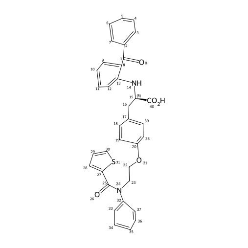 O=C(c1ccccc1)c1ccccc1N[C@H](Cc1ccc(OCCN(C(=O)c2cccs2)c2ccccc2)cc1)C(=O)O